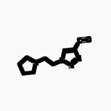 O=Cc1cn(CCN2CCCC2)nn1